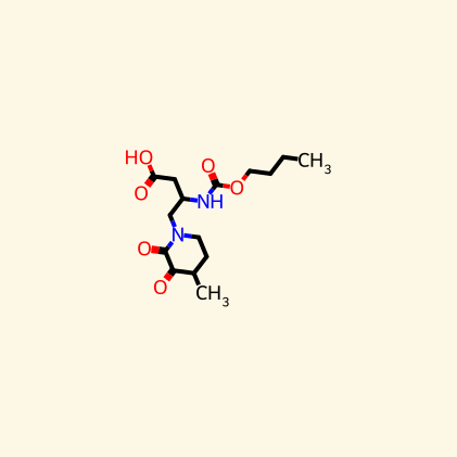 CCCCOC(=O)NC(CC(=O)O)CN1CCC(C)C(=O)C1=O